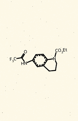 CCOC(=O)N1CCCc2cc(NC(=O)C(F)(F)F)ccc21